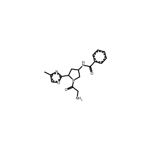 Cc1coc(C2CC(NC(=O)c3ccccc3)CN2C(=O)CN)n1